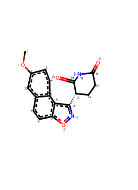 COc1ccc2c(ccc3onc([C@H]4CCC(=O)NC4=O)c32)c1